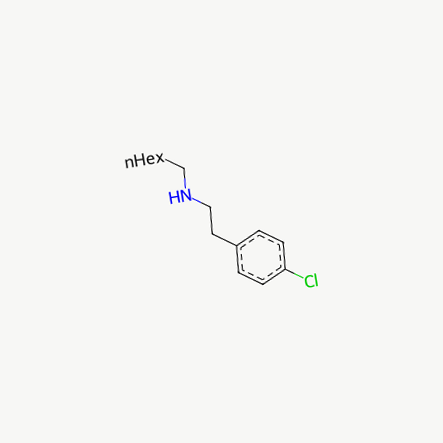 CCCCCCCNCCc1ccc(Cl)cc1